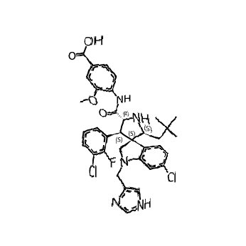 COc1cc(C(=O)O)ccc1NC(=O)[C@@H]1N[C@@H](CC(C)(C)C)[C@@]2(CN(Cc3c[nH]cn3)c3cc(Cl)ccc32)[C@H]1c1cccc(Cl)c1F